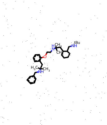 CC(C)(C)NCC1CCCCC1CC(C)(C)NCCOc1ccccc1CC(C)(C)NCc1ccccc1